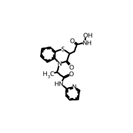 CC(C(=O)Nc1ccccn1)N1C(=O)C(CC(=O)NO)Sc2ccccc21